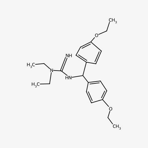 CCOc1ccc(C(NC(=N)N(CC)CC)c2ccc(OCC)cc2)cc1